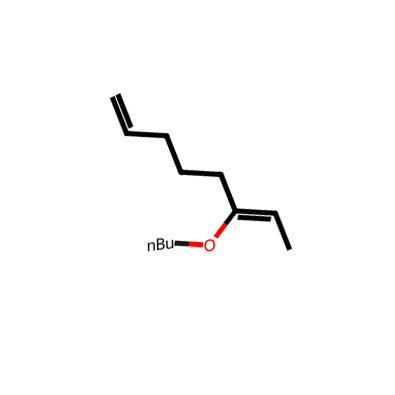 C=CCCC/C(=C/C)OCCCC